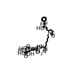 N/N=C(/CCCCCCN1C(=O)CCC1/C=C/C(O)C(F)(F)c1ccccc1)NCOC(=O)NCCCC(O)(P(=O)(O)O)P(=O)(O)O